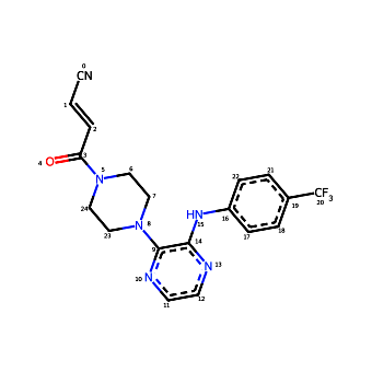 N#C/C=C/C(=O)N1CCN(c2nccnc2Nc2ccc(C(F)(F)F)cc2)CC1